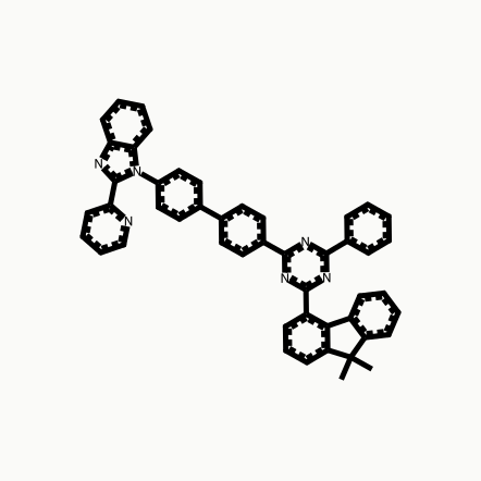 CC1(C)c2ccccc2-c2c(-c3nc(-c4ccccc4)nc(-c4ccc(-c5ccc(-n6c(-c7ccccn7)nc7ccccc76)cc5)cc4)n3)cccc21